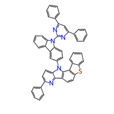 c1ccc(-c2cc(-c3ccccc3)nc(-n3c4ccccc4c4cc(-n5c6ccc(-c7ccccc7)nc6c6ccc7sc8ccccc8c7c65)ccc43)n2)cc1